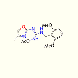 COc1cccc(OC)c1CNC(=Nc1nc(C)co1)NOC(C)=O